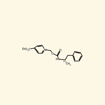 CCOC(=O)c1cc[n+](COC(=O)N[C@@H](C)Cc2ccccc2)cc1